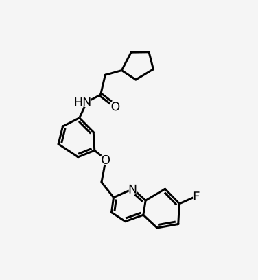 O=C(CC1CCCC1)Nc1cccc(OCc2ccc3ccc(F)cc3n2)c1